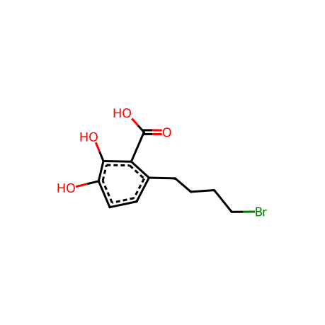 O=C(O)c1c(CCCCBr)ccc(O)c1O